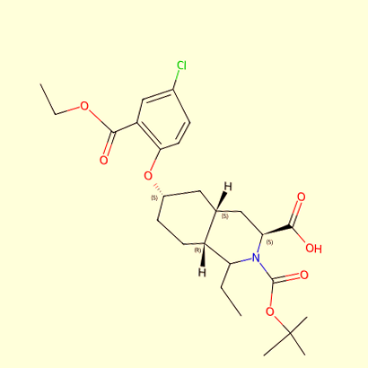 CCOC(=O)c1cc(Cl)ccc1O[C@H]1CC[C@H]2C(CC)N(C(=O)OC(C)(C)C)[C@H](C(=O)O)C[C@H]2C1